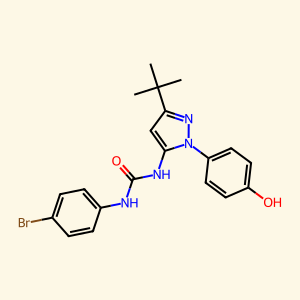 CC(C)(C)c1cc(NC(=O)Nc2ccc(Br)cc2)n(-c2ccc(O)cc2)n1